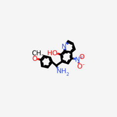 COc1ccc(C(N)c2cc([N+](=O)[O-])c3cccnc3c2O)cc1